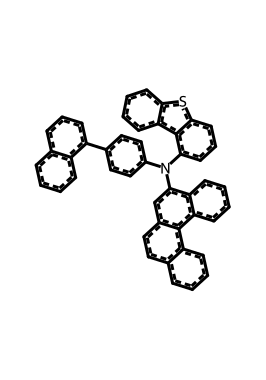 c1ccc2c(-c3ccc(N(c4cc5ccc6ccccc6c5c5ccccc45)c4cccc5sc6ccccc6c45)cc3)cccc2c1